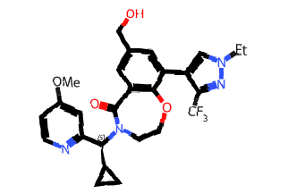 CCn1cc(-c2cc(CO)cc3c2OCCN([C@H](c2cc(OC)ccn2)C2CC2)C3=O)c(C(F)(F)F)n1